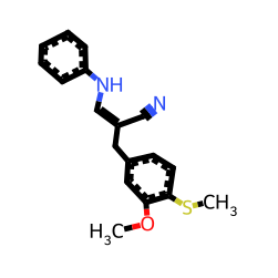 COc1cc(CC(C#N)=CNc2ccccc2)ccc1SC